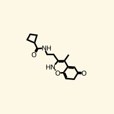 CC1=C(CCNC(=O)C2CCC2)NOC2=CCC(=O)C=C21